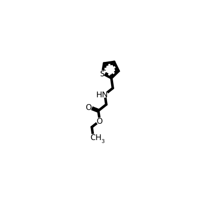 CCOC(=O)CNCc1cccs1